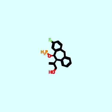 C=C(CO)[C@@H]1c2ccccc2Cc2ccc(F)cc2[C@@H]1OP